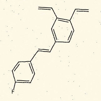 C=Cc1ccc(C=Cc2ccc(F)cc2)cc1C=C